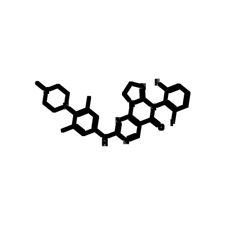 Cc1cc(Nc2ncc3c(n2)N2CCN=C2N(c2c(F)cccc2F)C3=O)cc(C)c1N1CCN(C)CC1